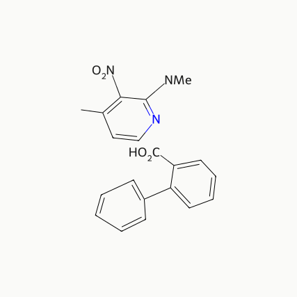 CNc1nccc(C)c1[N+](=O)[O-].O=C(O)c1ccccc1-c1ccccc1